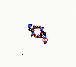 Cc1cnn(Cc2ccc(C[C@@H]3CN(C)[C@@H](CC(C)C)CO[C@H](C)CN(C)[C@@H](CC(C)C)CO[C@H](Cc4ccc(Cn5nc(C)c(S(=O)(=O)N6CCCC6)c5C)cc4)CN(C)[C@@H](CC(C)C)CO[C@H](C)CN(C)[C@@H](CC(C)C)CO3)cc2)c1